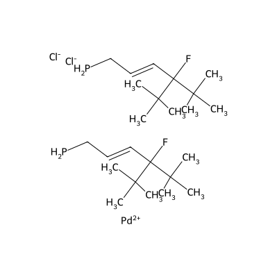 CC(C)(C)C(F)(C=CCP)C(C)(C)C.CC(C)(C)C(F)(C=CCP)C(C)(C)C.[Cl-].[Cl-].[Pd+2]